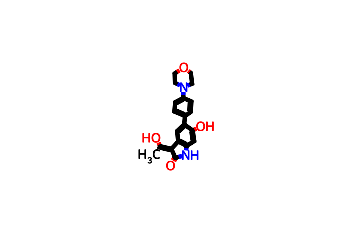 C/C(O)=C1\C(=O)Nc2cc(O)c(-c3ccc(N4CCOCC4)cc3)cc21